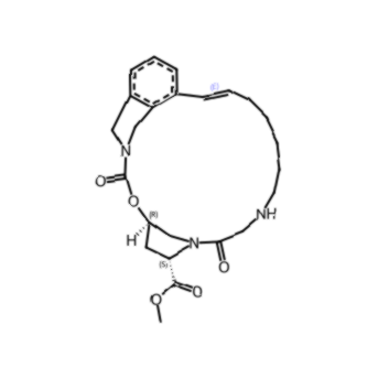 COC(=O)[C@@H]1C[C@@H]2CN1C(=O)CNCCCCC/C=C/c1cccc3c1CN(C3)C(=O)O2